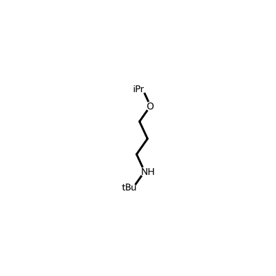 CC(C)OCCCNC(C)(C)C